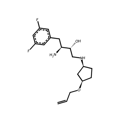 C=CCO[C@@H]1CC[C@H](NC[C@@H](O)[C@@H](N)Cc2cc(F)cc(F)c2)C1